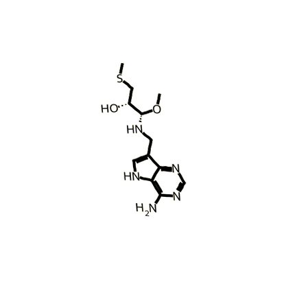 CO[C@H](NCc1c[nH]c2c(N)ncnc12)[C@H](O)CSC